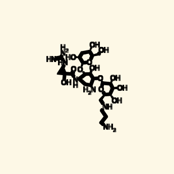 N=C(N)NC1CC1(O)C(=O)N[C@@H]1C[C@H](N)C(O[C@H]2O[C@H](CNCCCN)[C@@H](O)[C@H](O)[C@H]2O)[C@H](O)[C@H]1O[C@H]1O[C@H](CO)[C@@H](O)C[C@H]1O